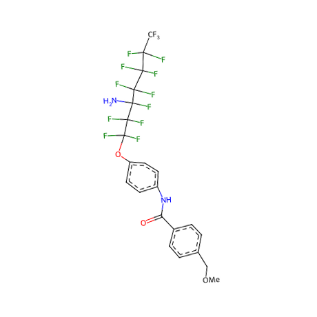 COCc1ccc(C(=O)Nc2ccc(OC(F)(F)C(F)(F)C(N)(F)C(F)(F)C(F)(F)C(F)(F)C(F)(F)F)cc2)cc1